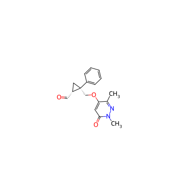 Cc1nn(C)c(=O)cc1OC[C@@]1(c2ccccc2)C[C@H]1C=O